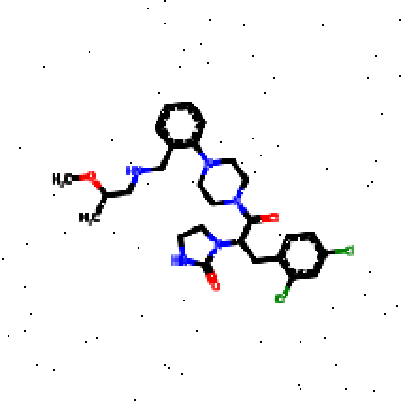 COC(C)CNCc1ccccc1N1CCN(C(=O)C(Cc2ccc(Cl)cc2Cl)N2CCNC2=O)CC1